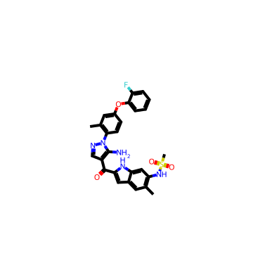 Cc1cc2cc(C(=O)c3cnn(-c4ccc(Oc5ccccc5F)cc4C)c3N)[nH]c2cc1NS(C)(=O)=O